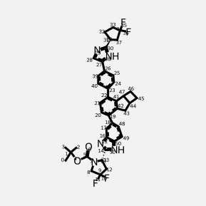 CC(C)(C)OC(=O)N1CC(F)(F)C[C@H]1c1nc2cc(-c3ccc(-c4ccc(-c5cnc([C@H]6CCC(F)(F)C6)[nH]5)cc4)c4c3CC3CCC43)ccc2[nH]1